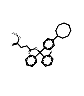 CC(C)(C)OC(=O)CCC(=O)OC(c1ccccc1)(c1ccc(C2CCCCCCC2)cc1)c1ccccc1Cl